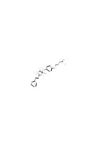 CCC(NC(=O)C=Cc1ccccc1)(Nc1ccc(OCCCC(=O)O)cc1)C(N)=O